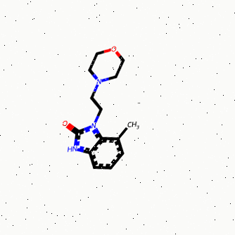 Cc1cccc2[nH]c(=O)n(CCN3CCOCC3)c12